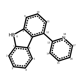 B1c2ccccc2-c2c1cccc2-c1ccccn1